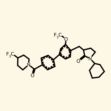 O=C(c1ccc(-c2ccc(CC3CCN(C4CCCCC4)C3=O)c(OC(F)(F)F)c2)cc1)N1CCC(C(F)(F)F)CC1